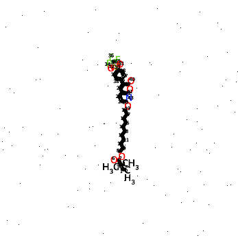 CCC(C)(C)C(=O)OCCCCCCCCCCCOc1ccc2cc(-c3ccc(S(=O)(=O)C(F)(F)F)cc3)c(=O)oc2n1